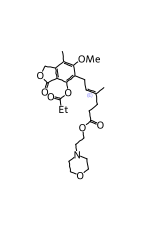 CCC(=O)Oc1c(C/C=C(\C)CCC(=O)OCCN2CCOCC2)c(OC)c(C)c2c1C(=O)OC2